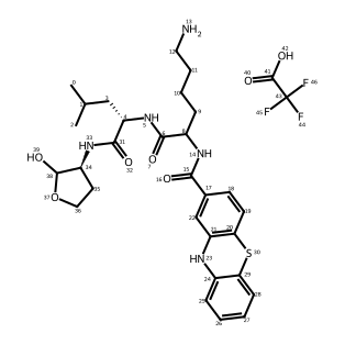 CC(C)C[C@H](NC(=O)C(CCCCN)NC(=O)c1ccc2c(c1)Nc1ccccc1S2)C(=O)N[C@H]1CCOC1O.O=C(O)C(F)(F)F